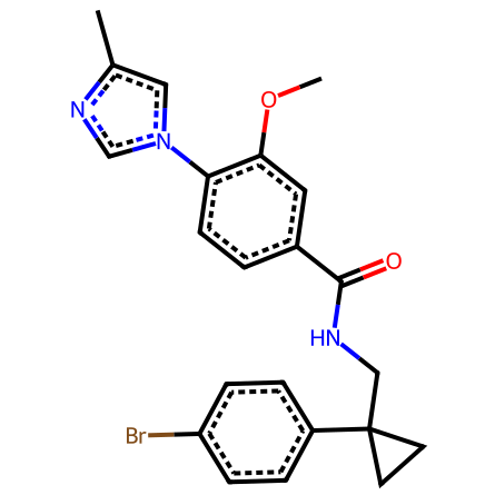 COc1cc(C(=O)NCC2(c3ccc(Br)cc3)CC2)ccc1-n1cnc(C)c1